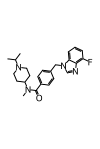 CC(C)N1CCC(N(C)C(=O)c2ccc(Cn3cnc4c(F)cccc43)cc2)CC1